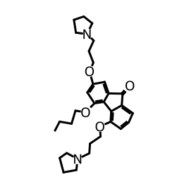 CCCCOc1cc(OCCCN2CCCC2)cc2c1-c1c(OCCCN3CCCC3)cccc1C2=O